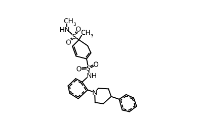 CNS(=O)(=O)C1(C)C=CC(S(=O)(=O)Nc2ccccc2N2CCC(c3ccccc3)CC2)=CC1